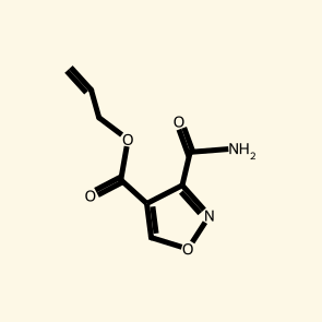 C=CCOC(=O)c1conc1C(N)=O